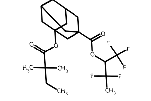 CCC(C)(C)C(=O)OC12CC3CC(C1)CC(C(=O)OC(C(C)(F)F)C(F)(F)F)(C3)C2